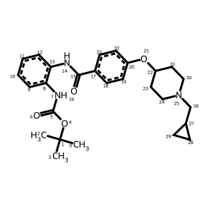 CC(C)(C)OC(=O)Nc1ccccc1NC(=O)c1ccc(OC2CCN(CC3CC3)CC2)cc1